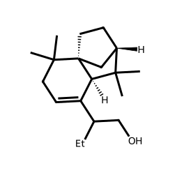 CCC(CO)C1=CCC(C)(C)[C@@]23CC[C@@H](C2)C(C)(C)[C@@H]13